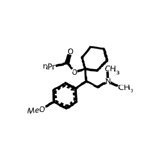 CCCC(=O)OC1(C(CN(C)C)c2ccc(OC)cc2)CCCCC1